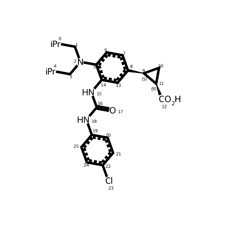 CC(C)CN(CC(C)C)c1ccc([C@H]2C[C@H]2C(=O)O)cc1NC(=O)Nc1ccc(Cl)cc1